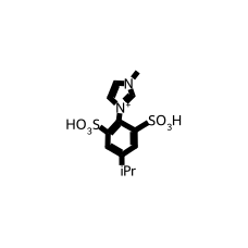 CC(C)c1cc(S(=O)(=O)O)c(-[n+]2ccn(C)c2)c(S(=O)(=O)O)c1